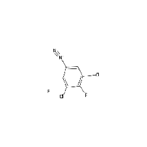 N#[N+]c1cc(Cl)c(F)c(Cl)c1.[F-]